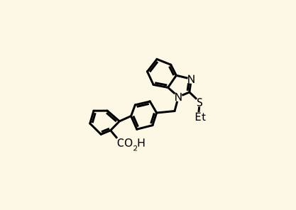 CCSc1nc2ccccc2n1Cc1ccc(-c2ccccc2C(=O)O)cc1